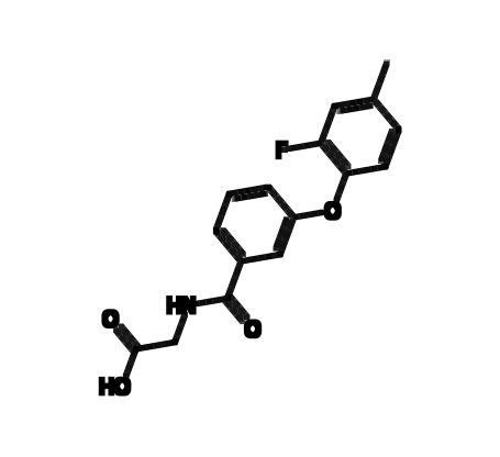 Cc1ccc(Oc2cccc(C(=O)NCC(=O)O)c2)c(F)c1